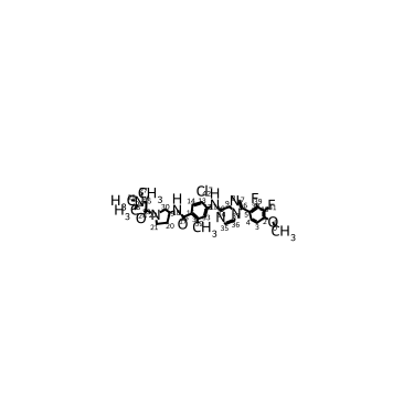 COc1ccc(-c2cnc3c(Nc4ccc(C(=O)N[C@H]5CCN(C(=O)C[N+](C)(C)C)C5)c(C)c4)nccn23)c(F)c1F.[Cl-]